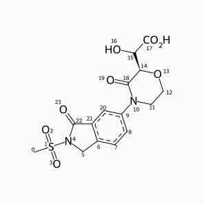 CS(=O)(=O)N1Cc2ccc(N3CCO[C@H](C(O)C(=O)O)C3=O)cc2C1=O